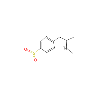 C[Te]C(C)Cc1ccc([SH](=O)=O)cc1